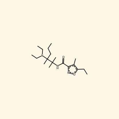 CCCC(C)(N(CC)CC)C(C)(C)NC(=O)c1noc(CC)c1C